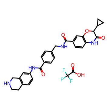 O=C(NCc1ccc(C(=O)Nc2ccc3c(c2)CNCC3)cc1)c1ccc2c(c1)OC(C1CC1)C(=O)N2.O=C(O)C(F)(F)F